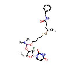 [2H]C[C@H]1O[C@@H](n2ccc(=O)[nH]c2=O)[C@@H](F)C1OP(OCCCCSSC(C)CCC(=O)NCc1ccccc1)N(C(C)C)C(C)C